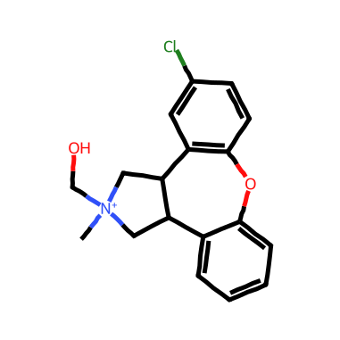 C[N+]1(CO)CC2c3ccccc3Oc3ccc(Cl)cc3C2C1